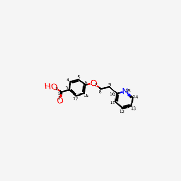 O=C(O)c1ccc(OCCc2ccccn2)cc1